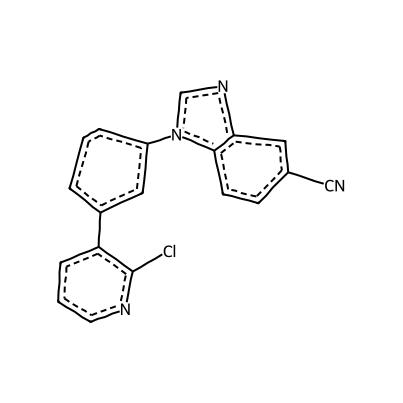 N#Cc1ccc2c(c1)ncn2-c1cccc(-c2cccnc2Cl)c1